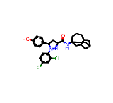 O=C(NC12CCCC3CC(CC3C1)C2)C1=NN(c2ccc(Cl)cc2Cl)C(c2ccc(O)cc2)C1